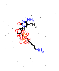 Cc1cn([C@@H]2O[C@@]3(COP(=O)(O)O)COC2[C@H]3OP(=O)(O)OCCCCCCN)c(=O)nc1N